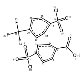 O=C(O)c1ccc(S(=O)(=O)Cl)cc1.O=S(=O)(Cl)c1ccc(C(F)(F)F)cc1